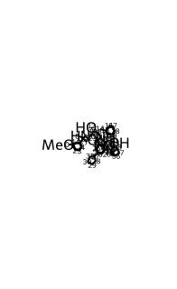 COc1cccc(C(C)(C)NC[C@@H](O)[C@H](Cc2ccccc2)NC(=O)c2cc(C3CCCC3)cc(N3CCCCS3(O)O)c2F)c1